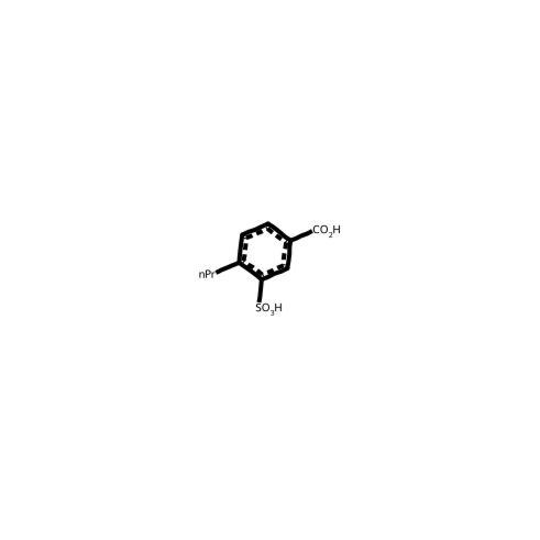 CCCc1ccc(C(=O)O)cc1S(=O)(=O)O